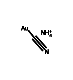 N#[C][Au].[NH4+]